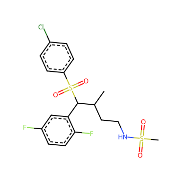 CC(CCNS(C)(=O)=O)C(c1cc(F)ccc1F)S(=O)(=O)c1ccc(Cl)cc1